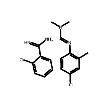 Cc1cc(Cl)ccc1N=CN(C)C.N=C(N)c1ccccc1Cl